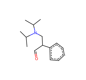 CC(C)N(CC(C=O)c1cc[c]cc1)C(C)C